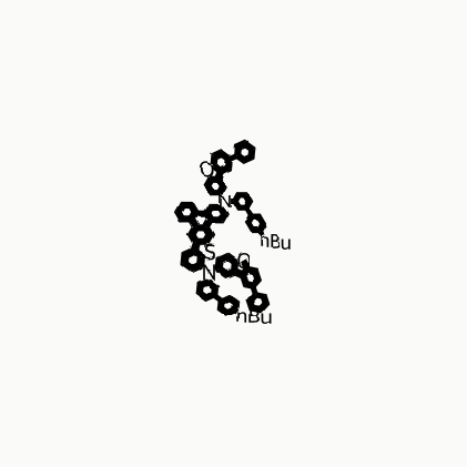 CCCCc1ccc(-c2cccc(N(c3ccc4oc5ccc(-c6ccccc6)cc5c4c3)c3ccc4c(c3)c3ccccc3c3cc5c(cc43)sc3c(N(c4cccc(-c6ccc(CCCC)cc6)c4)c4ccc6oc7ccc(-c8ccccc8)cc7c6c4)cccc35)c2)cc1